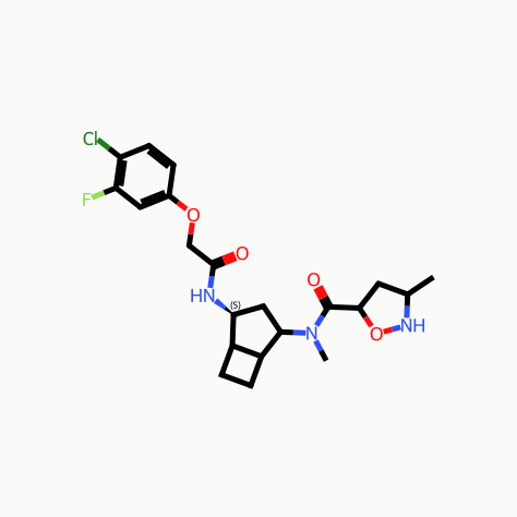 CC1CC(C(=O)N(C)C2C[C@H](NC(=O)COc3ccc(Cl)c(F)c3)C3CCC32)ON1